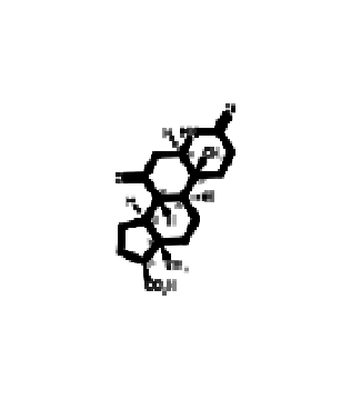 C[C@]12CCC(=O)N[C@@H]1CC(=O)[C@@H]1[C@@H]2CC[C@]2(C)[C@@H](C(=O)O)CC[C@@H]12